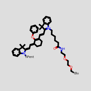 CCCCCN1/C(=C/C=C2\CCCC(/C=C/C3=[N+](CCCCCC(=O)NCCOCCOCC(C)(C)C)c4ccccc4C3(C)C)=C2Oc2ccccc2)C(C)(C)c2ccccc21